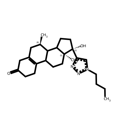 CCCCn1cc([C@]2(O)CCC3C4C(CC[C@@]32C)C2=C(CC(=O)CC2)C[C@H]4C)nn1